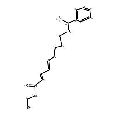 CC(C)CNC(=O)/C=C/C=C/CCCCOC(C)c1ccccc1